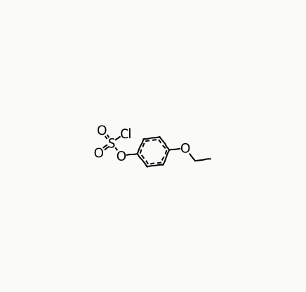 CCOc1ccc(OS(=O)(=O)Cl)cc1